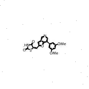 COc1cc(OC)cc(-c2cncc3cc(C=C4SC(=O)NC4=O)oc23)c1